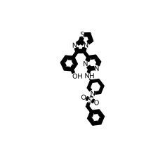 O=S(=O)(Cc1ccccc1)N1CCC[C@@H](Nc2nccc(-c3c(-c4cccc(O)c4)nc4sccn34)n2)C1